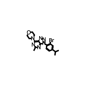 Cc1nc(N2CCOCC2)c2nnn(-c3ccc(C(C)C)cc3Br)c2n1